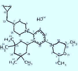 C[C@@H]1CN(c2ccc(N3CCN(CC4CC4)CC3)c(C3CC(C)(C)CC(C)(C)C3)c2)C[C@H](C)O1.Cl